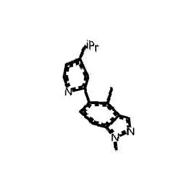 Cc1c(-c2cc(C(C)C)ccn2)ccc2c1cnn2C